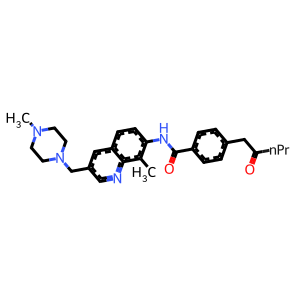 CCCC(=O)Cc1ccc(C(=O)Nc2ccc3cc(CN4CCN(C)CC4)cnc3c2C)cc1